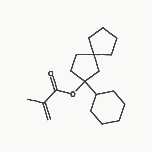 C=C(C)C(=O)OC1(C2CCCCC2)CCC2(CCCC2)C1